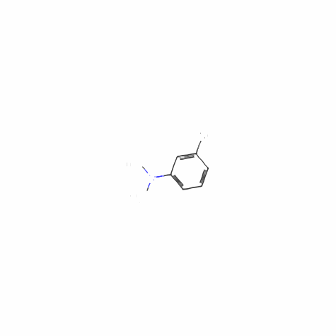 [C-]#[N+]c1cccc(N(CCC)C(=O)O)c1